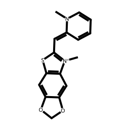 CN1C=CC=C/C1=C\c1sc2cc3c(cc2[n+]1C)OCO3